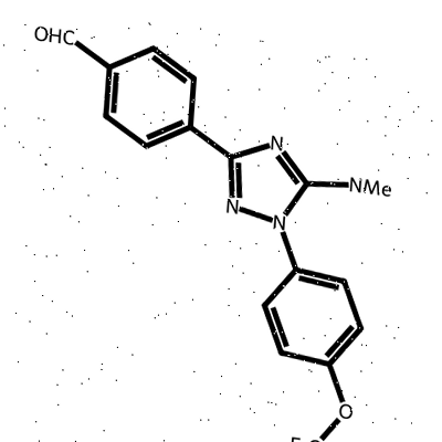 CNc1nc(-c2ccc(C=O)cc2)nn1-c1ccc(OC(F)(F)F)cc1